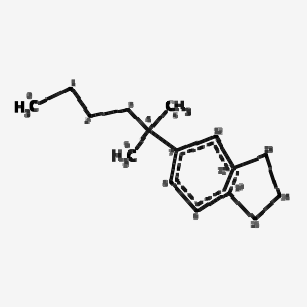 CCCCC(C)(C)c1ccc2c(c1)CCC2